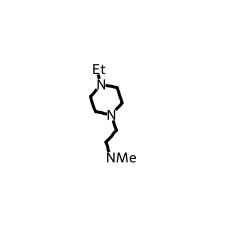 CCN1CCN(CCNC)CC1